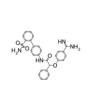 N=C(N)c1ccc(OC(C(=O)Nc2ccc(-c3ccccc3S(N)(=O)=O)cc2)c2ccccc2)cc1